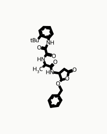 CC(NC(=O)C(=O)Nc1ccccc1C(C)(C)C)C(=O)NC1CC(=O)OC1OCc1ccccc1